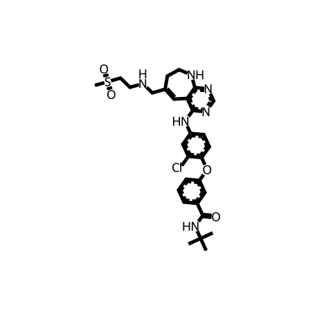 CC(C)(C)NC(=O)c1cccc(Oc2ccc(Nc3ncnc4c3C=C(CNCCS(C)(=O)=O)CCN4)cc2Cl)c1